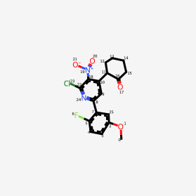 COc1ccc(F)c(-c2cc(C3CCCCC3=O)c([N+](=O)[O-])c(Cl)n2)c1